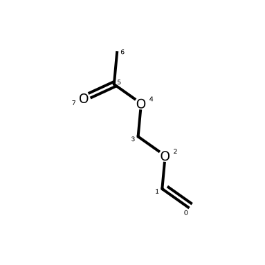 C=COCOC(C)=O